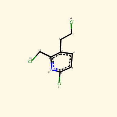 ClCCc1ccc(Cl)nc1CCl